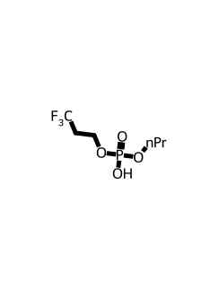 CCCOP(=O)(O)OCCC(F)(F)F